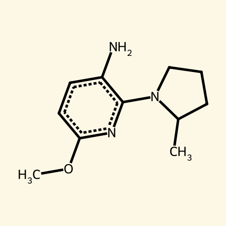 COc1ccc(N)c(N2CCCC2C)n1